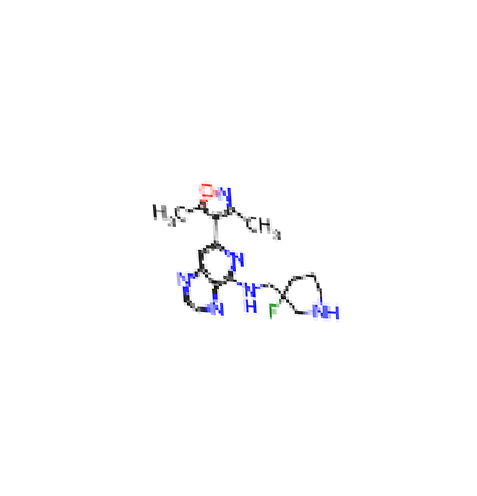 Cc1noc(C)c1-c1cc2nccnc2c(NCC2(F)CCCNC2)n1